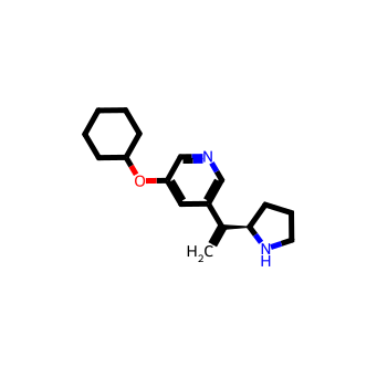 C=C(c1cncc(OC2CCCCC2)c1)[C@H]1CCCN1